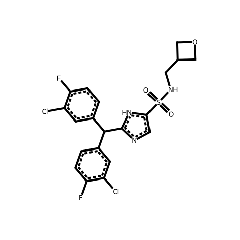 O=S(=O)(NCC1COC1)c1cnc(C(c2ccc(F)c(Cl)c2)c2ccc(F)c(Cl)c2)[nH]1